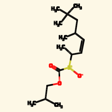 CC(C)COC(=O)[S+]([O-])C(C)/C=C\C(C)CC(C)(C)C